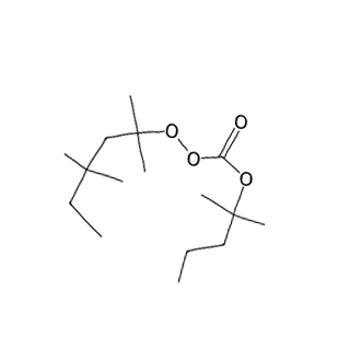 CCCC(C)(C)OC(=O)OOC(C)(C)CC(C)(C)CC